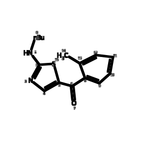 [CH2]CCCNc1ncc(C(=O)c2ccccc2C)s1